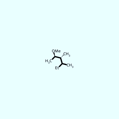 CCC(C)[C@@H](C)[C@@H](C)OC